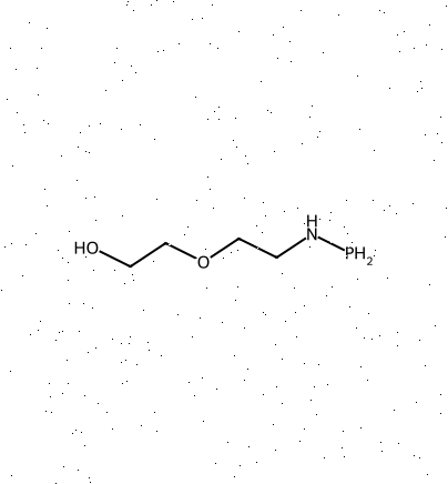 OCCOCCNP